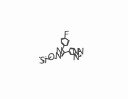 C[Si](C)(C)CCOCn1cc(-c2ccn3ncnc3c2)c(-c2ccc(F)cc2)n1